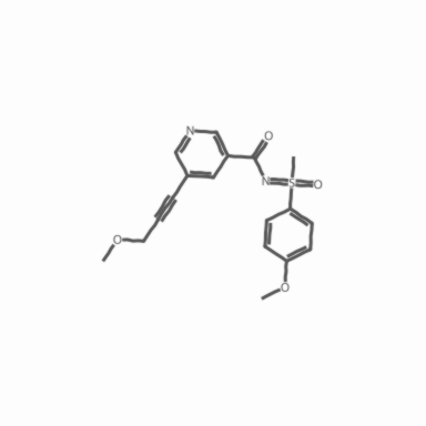 COCC#Cc1cncc(C(=O)N=S(C)(=O)c2ccc(OC)cc2)c1